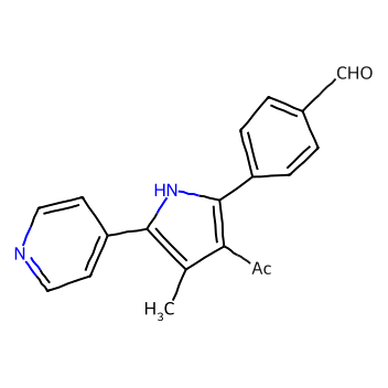 CC(=O)c1c(-c2ccc(C=O)cc2)[nH]c(-c2ccncc2)c1C